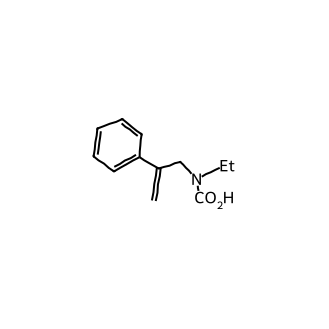 C=C(CN(CC)C(=O)O)c1ccccc1